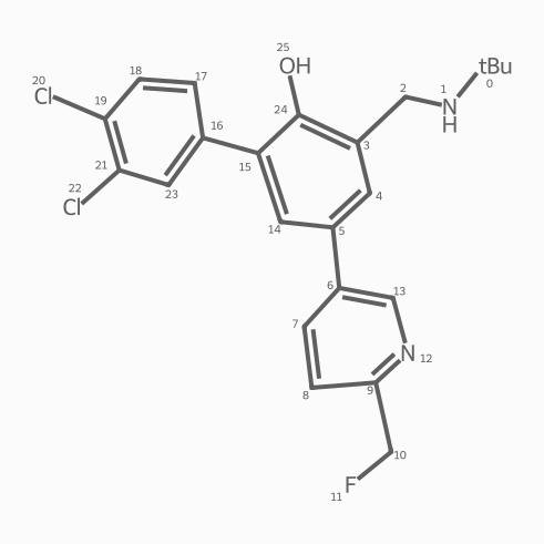 CC(C)(C)NCc1cc(-c2ccc(CF)nc2)cc(-c2ccc(Cl)c(Cl)c2)c1O